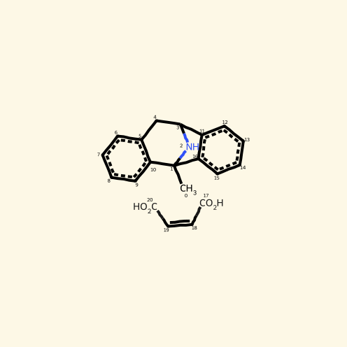 CC12NC(Cc3ccccc31)c1ccccc12.O=C(O)/C=C\C(=O)O